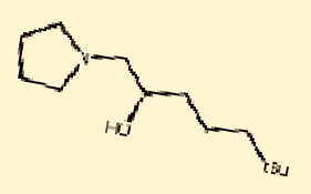 CC(C)(C)CCC[C@@H](O)CN1CCCC1